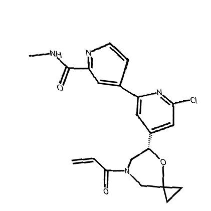 C=CC(=O)N1C[C@H](c2cc(Cl)nc(-c3ccnc(C(=O)NC)c3)c2)OC2(CC2)C1